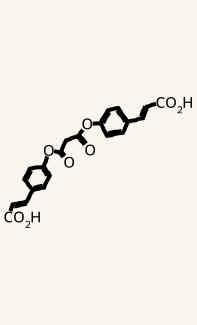 O=C(O)/C=C/c1ccc(OC(=O)CC(=O)Oc2ccc(/C=C/C(=O)O)cc2)cc1